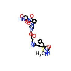 Cc1nnc2n1-c1sc(C#Cc3cnn(CCCC(=O)OCCN4CCN(c5cccc6c5C(=O)N(C5CCC(=O)NC5=O)C6=O)CC4)c3)c(Cc3ccccc3)c1COC2